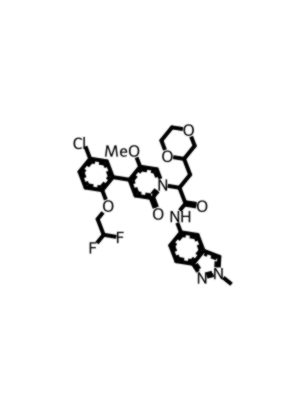 COc1cn(C(CC2COCCO2)C(=O)Nc2ccc3nn(C)cc3c2)c(=O)cc1-c1cc(Cl)ccc1OCC(F)F